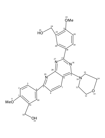 COc1ccc(-c2ccc3c(N4CCOCC4)nc(-c4ccc(OC)c(CO)c4)nc3n2)cc1CO